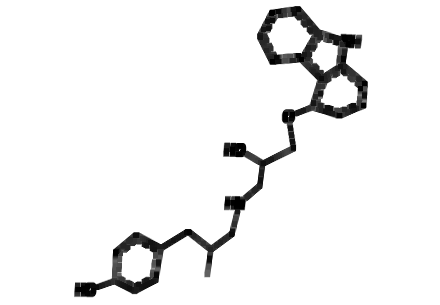 CC(CNCC(O)COc1cccc2[nH]c3ccccc3c12)Cc1ccc(O)cc1